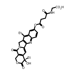 CCc1c2c(nc3ccc(OC(=O)CCC(=O)NCC(=O)O)cc13)-c1cc3c(c(=O)n1C2)COC(=O)[C@]3(O)CC